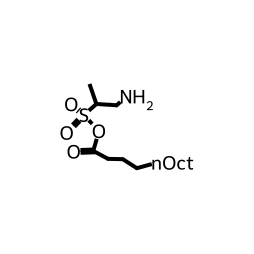 CCCCCCCCCCCC(=O)OS(=O)(=O)C(C)CN